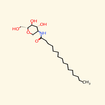 CCCCCCCCCCCCCCCC(=O)N[C@H]1[CH]O[C@H](CO)[C@@H](O)[C@@H]1O